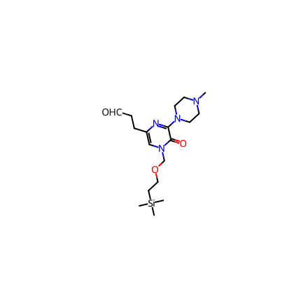 CN1CCN(c2nc(CCC=O)cn(COCC[Si](C)(C)C)c2=O)CC1